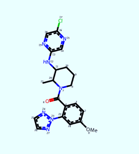 COc1ccc(C(=O)N2CCCC(Nc3cnc(Cl)cn3)C2C)c(-n2nccn2)c1